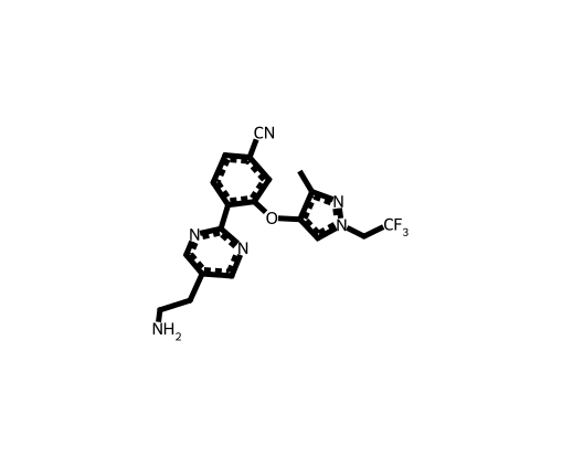 Cc1nn(CC(F)(F)F)cc1Oc1cc(C#N)ccc1-c1ncc(CCN)cn1